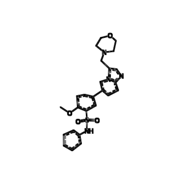 COc1ccc(-c2ccc3ncc(CN4CCOCC4)n3c2)cc1S(=O)(=O)Nc1ccccc1